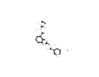 CCCOc1cncc(C(=O)Nc2nc3c(C(=O)Nc4ncc[nH]4)cccc3[nH]2)c1